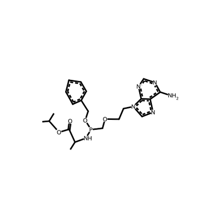 CC(C)OC(=O)C(C)NP(COCCn1cnc2c(N)ncnc21)OCc1ccccc1